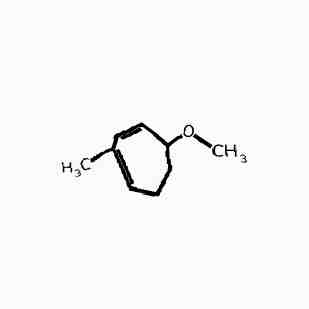 COC1C=CC(C)=CCC1